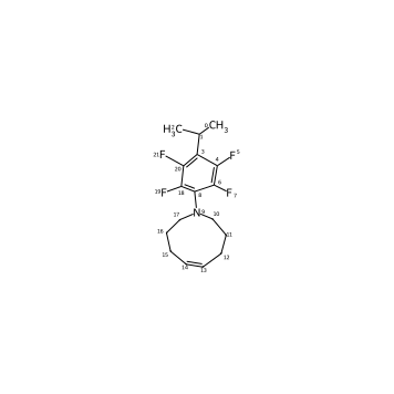 CC(C)c1c(F)c(F)c(N2CCC/C=C\CCC2)c(F)c1F